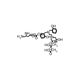 CC(=O)O.CC(=O)O.CC(=O)O.NCC(N)CCO.O=C(O)CN(CCN(Cc1ccccc1O)Cc1ccccc1O)CC(=O)O